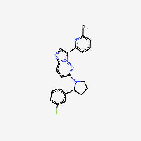 Cc1cccc(-c2cnc3ccc(N4CCC[C@H]4c4cccc(F)c4)nn23)n1